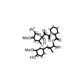 COC1CC(/C=C(\C)C(OC(=O)C2CCCCN2C(=O)C(=O)C2(O)OC(C(C)C)C(OC)CC2C)C(C)C)CCC1O